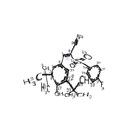 CC(C)(C)c1cc(/C=C(/C#N)S(=O)(=O)c2ccc(F)cc2)cc(C(C)(C)C)c1O